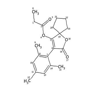 CCC(=O)OC1=C(c2c(C)cc(C)cc2C)C(=O)OC12CCCC2